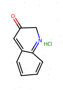 Cl.O=C1C=c2ccccc2=NC1